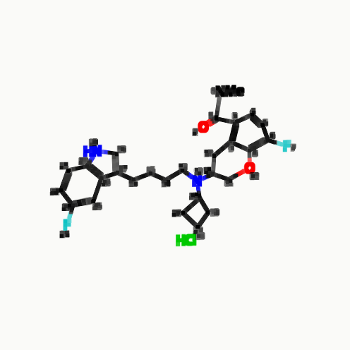 CNC(=O)c1ccc(F)c2c1CC(N(CCCCc1c[nH]c3ccc(F)cc13)C1CCC1)CO2.Cl